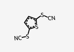 N#CSc1ccc(SC#N)s1